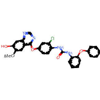 COc1cc2c(Oc3ccc(NC(=O)Nc4ccccc4Oc4ccccc4)c(Cl)c3)ncnc2cc1O